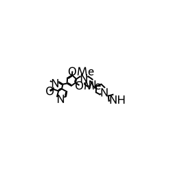 COc1cc(-c2cn(C)c(=O)c3cnccc23)cc(OC)c1CN1CCN(C2CCN(C3CNC3)CC2)CC1